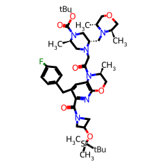 C[C@@H]1CN(CC(=O)N2c3cc(Cc4ccc(F)cc4)c(C(=O)N4CC(O[Si](C)(C)C(C)(C)C)C4)nc3OC[C@@H]2C)[C@@H](CN2[C@H](C)COC[C@H]2C)CN1C(=O)OC(C)(C)C